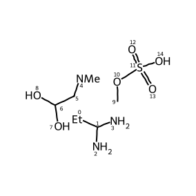 CCC(N)N.CNCC(O)O.COS(=O)(=O)O